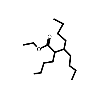 CCCCC(CCCC)C(CCCC)C(=O)OCC